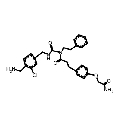 NCc1ccc(CNC(=O)N(CCc2ccccc2)C(=O)[CH]Cc2ccc(OCC(N)=O)cc2)cc1Cl